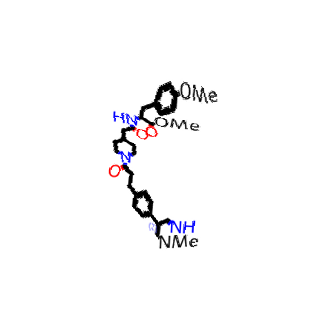 CN/C=C(\C=N)c1ccc(CCC(=O)N2CCC(CC(=O)NC(Cc3ccc(OC)cc3)C(=O)OC)CC2)cc1